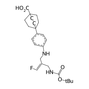 CC(C)(C)OC(=O)NC/C(=C/F)CNc1ccc(C23CCC(C(=O)O)(CC2)CC3)cc1